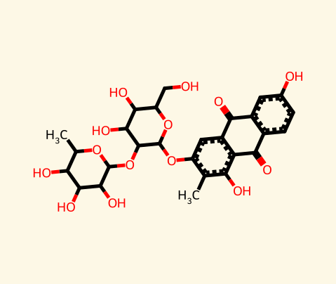 Cc1c(OC2OC(CO)C(O)C(O)C2OC2OC(C)C(O)C(O)C2O)cc2c(c1O)C(=O)c1ccc(O)cc1C2=O